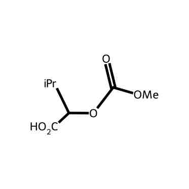 COC(=O)OC(C(=O)O)C(C)C